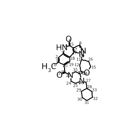 Cc1cc2[nH]c(=O)c3cnn(C4CCOCC4)c3c2cc1C(=O)N1CCN(CC2CCCCC2)CC1